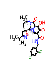 CC(C)C1=NO[C@@]2(CC[C@H](C)N3C[C@H]2n2cc(C(=O)NCc4ccc(F)cc4F)c(=O)c(O)c2C3=O)C1